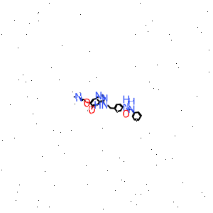 COc1cc2c(NCCc3ccc(NC(=O)Nc4ccccc4)cc3)ncnc2cc1OCCN(C)C